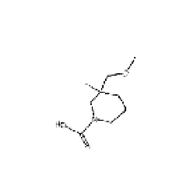 COCC1(C)CCCN(C(=O)O)C1